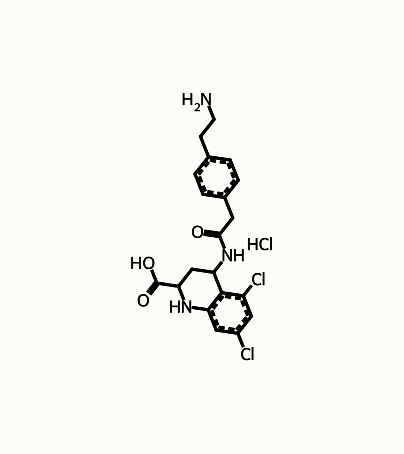 Cl.NCCc1ccc(CC(=O)NC2CC(C(=O)O)Nc3cc(Cl)cc(Cl)c32)cc1